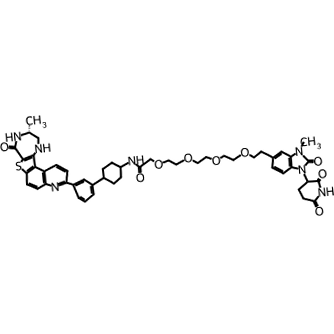 C[C@@H]1CNc2c(sc3ccc4nc(-c5cccc(C6CCC(NC(=O)COCCOCCOCCOCCc7ccc8c(c7)n(C)c(=O)n8C7CCC(=O)NC7=O)CC6)c5)ccc4c23)C(=O)N1